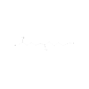 CCCCCCCCCCCCCC(N)CCCCC(N)CCC